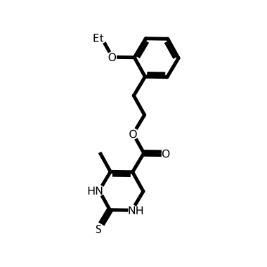 CCOc1ccccc1CCOC(=O)C1=C(C)NC(=S)NC1